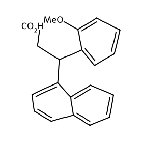 COc1ccccc1C(CC(=O)O)c1cccc2ccccc12